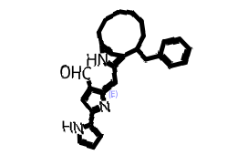 O=CC1=CC(c2ccc[nH]2)=N/C1=C/c1[nH]c2cc1C(Cc1ccccc1)CCCCCC2